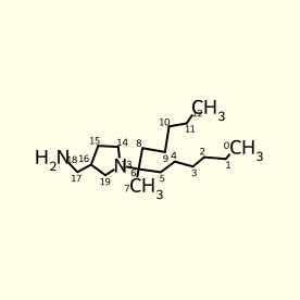 CCCCCCC(C)(CCCCC)N1CCC(CN)C1